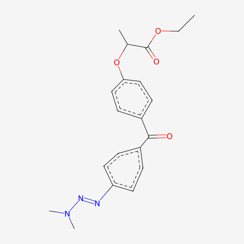 CCOC(=O)C(C)Oc1ccc(C(=O)c2ccc(N=NN(C)C)cc2)cc1